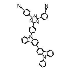 N#Cc1ccc(-c2nc(-c3ccc(-n4c5ccccc5c5cc(-c6ccc7c(c6)c6ccccc6n7-c6ccccc6)ccc54)cc3)nc(-c3cccc(C#N)c3)n2)cc1